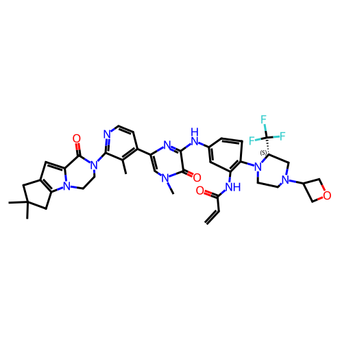 C=CC(=O)Nc1cc(Nc2nc(-c3ccnc(N4CCn5c(cc6c5CC(C)(C)C6)C4=O)c3C)cn(C)c2=O)ccc1N1CCN(C2COC2)C[C@H]1C(F)(F)F